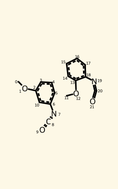 COc1cccc(N=C=O)c1.COc1ccccc1N=C=O